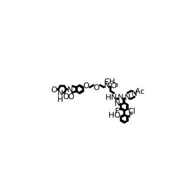 CC(=O)N1CCN(c2nc(NCCC(=O)N(C)CCOCCOc3ccc4c(c3)CN(C3CCC(=O)NC3=O)C4=O)nc3c(F)c(-c4c(O)cccc4F)c(Cl)cc23)CC1